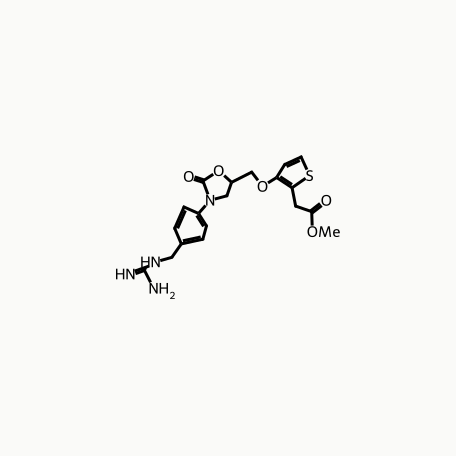 COC(=O)Cc1sccc1OCC1CN(c2ccc(CNC(=N)N)cc2)C(=O)O1